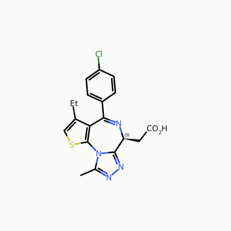 CCc1csc2c1C(c1ccc(Cl)cc1)=N[C@@H](CC(=O)O)c1nnc(C)n1-2